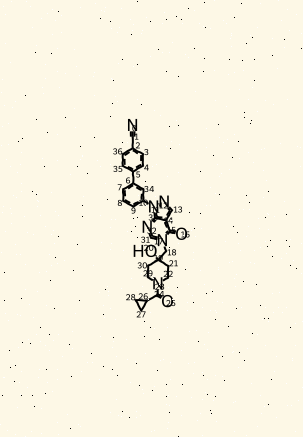 N#Cc1ccc(-c2cccc(-n3ncc4c(=O)n(CC5(O)CCN(C(=O)C6CC6)CC5)cnc43)c2)cc1